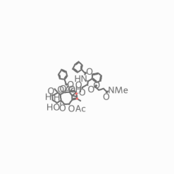 CNC(=O)CCC(=O)O[C@@H](C(=O)O[C@H]1C[C@@]2(O)[C@@H](OC(=O)c3ccccc3)[C@@H]3[C@]4(OC(C)=O)CO[C@@H]4C[C@H](O)[C@@]3(C)C(=O)[C@H](OC(C)=O)C(=C1C)C2(C)C)[C@@H](NC(=O)c1ccccc1)c1ccccc1